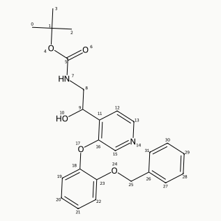 CC(C)(C)OC(=O)NCC(O)c1ccncc1Oc1ccccc1OCc1ccccc1